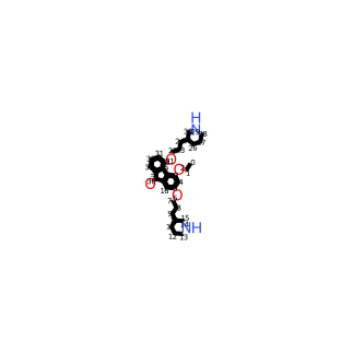 CCOc1cc(OCCCC2CCCNC2)cc2c1-c1c(OCCCC3CCCNC3)cccc1C2=O